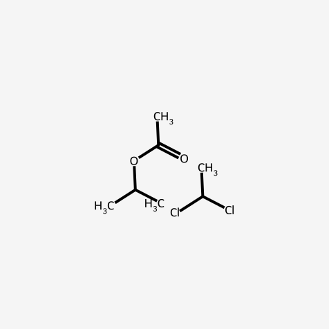 CC(=O)OC(C)C.CC(Cl)Cl